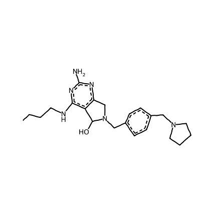 CCCCNc1nc(N)nc2c1C(O)N(Cc1ccc(CN3CCCC3)cc1)C2